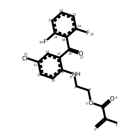 C=C(C)C(=O)OCCNc1ccc(Cl)cc1C(=O)c1c(F)cccc1F